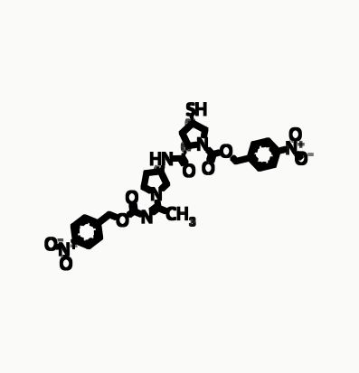 CC(=NC(=O)OCc1ccc([N+](=O)[O-])cc1)N1CC[C@H](NC(=O)[C@@H]2C[C@H](S)CN2C(=O)OCc2ccc([N+](=O)[O-])cc2)C1